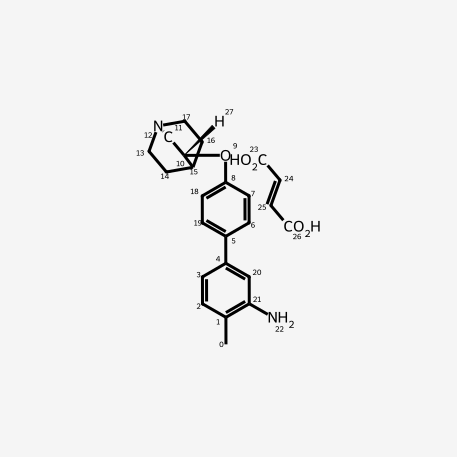 Cc1ccc(-c2ccc(O[C@H]3CN4CCC3CC4)cc2)cc1N.O=C(O)/C=C/C(=O)O